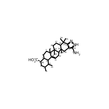 CC1C[C@@H](C(=O)O)C2CCC3(C)C(=CCC4C5(C)Cc6c(n[nH]c6N)C(C)(C)C5CCC43C)C2C1C